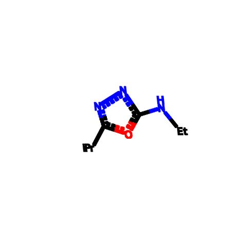 CCNc1nnc(C(C)C)o1